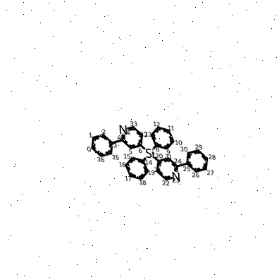 c1ccc(-c2cc([Si](c3ccccc3)(c3ccccc3)c3ccnc(-c4ccccc4)c3)ccn2)cc1